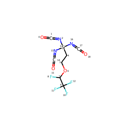 O=C=N[Si](CCOC(F)C(F)(F)F)(N=C=O)N=C=O